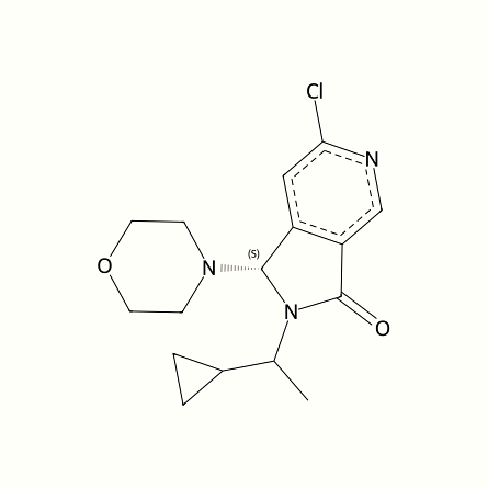 CC(C1CC1)N1C(=O)c2cnc(Cl)cc2[C@H]1N1CCOCC1